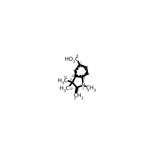 C=C1N(C)c2ccc(C(=O)O)cc2C1(C)C